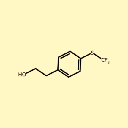 OCCc1ccc(SC(F)(F)F)cc1